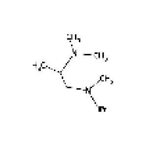 CC(CN(C)C(C)C)N(C)C